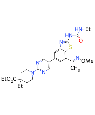 CCNC(=O)Nc1nc2cc(-c3cnc(N4CCC(CC)(C(=O)OCC)CC4)nc3)cc(C(C)=NOC)c2s1